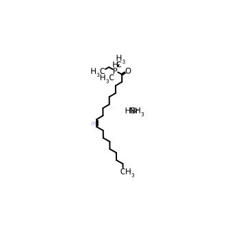 Br.CCCCCCCC/C=C\CCCCCCCC(=O)[PH](C)(C)CC.N